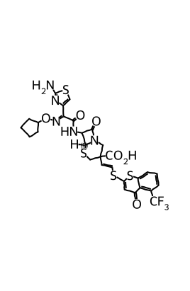 Nc1nc(C(=NOC2CCCC2)C(=O)NC2C(=O)N3CC(C=CSc4cc(=O)c5c(C(F)(F)F)cccc5s4)(C(=O)O)CS[C@H]23)cs1